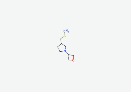 NSCC1CCN(C2COC2)C1